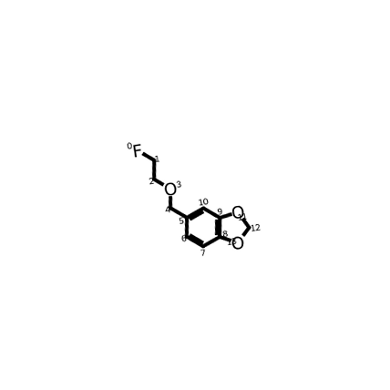 FCCOCc1ccc2c(c1)OCO2